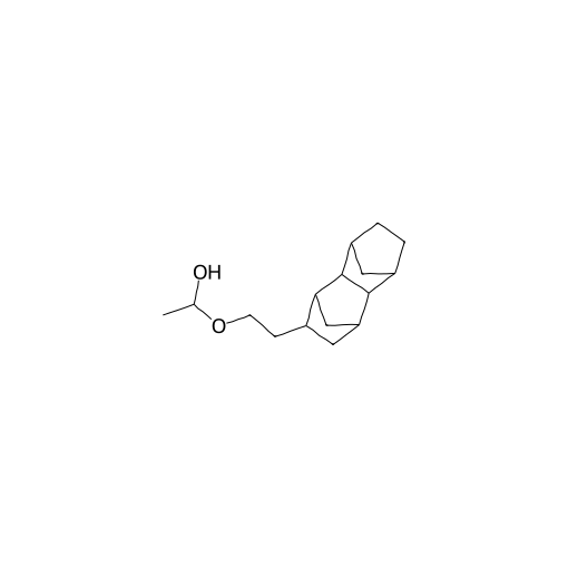 CC(O)OCCC1CC2CC1C1C3CCC(C3)C21